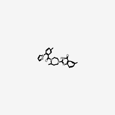 Cc1ccc(-n2cccn2)c(C(=O)N2CCN(c3nc4ccc(C)cc4c(=O)[nH]3)CCC2C)c1